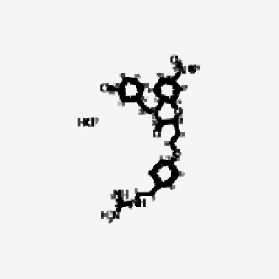 Cl.N=C(N)NCCc1ccc(OCCC2Oc3cc([N+](=O)[O-])ccc3N(Cc3cccc(Cl)c3)C2=O)cc1